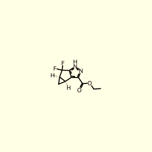 CCOC(=O)c1n[nH]c2c1[C@H]1C[C@H]1C2(F)F